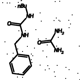 CCCCNC(=O)NCc1ccccc1.NC(N)=O